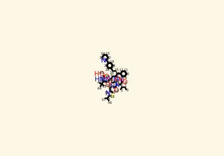 CCC(C)[C@@H](C(=O)Nc1ccccc1[C@H](CCc1ccc(-c2ccccn2)cc1)[C@@H](O)CCNC(=O)[C@@H](NC(=O)O)C(C)(C)C)N1CC(=O)N(Cc2csc(C(C)C)n2)C1=O